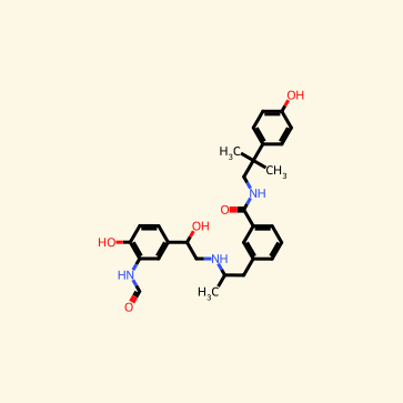 CC(Cc1cccc(C(=O)NCC(C)(C)c2ccc(O)cc2)c1)NCC(O)c1ccc(O)c(NC=O)c1